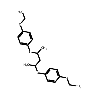 CCOc1ccc(OC(C)CC(C)Oc2ccc(OCC)cc2)cc1